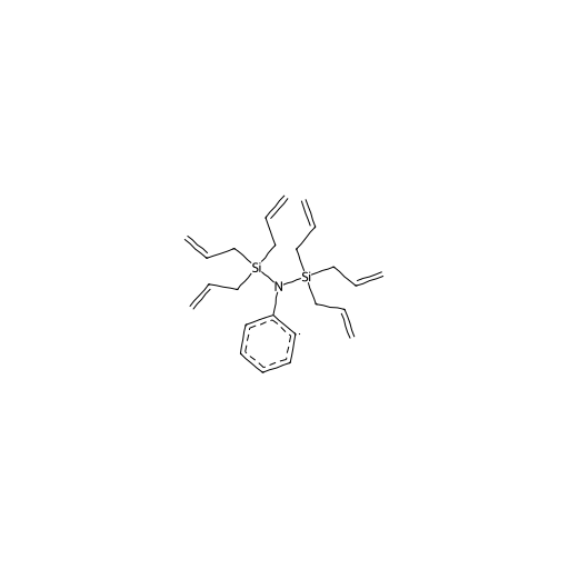 C=CC[Si](CC=C)(CC=C)N(c1[c]cccc1)[Si](CC=C)(CC=C)CC=C